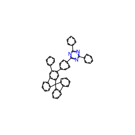 c1ccc(-c2nc(-c3ccccc3)nc(-c3ccc(-c4cc5c(cc4-c4ccccc4)-c4ccccc4C54c5ccccc5-c5ccccc54)cc3)n2)cc1